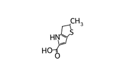 CC1Cc2[nH]c(C(=O)O)cc2S1